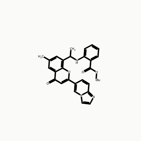 Cc1cc(C(C)Nc2ccccc2C(=O)OC(C)(C)C)c2oc(-c3ccc4nccn4c3)cc(=O)c2c1